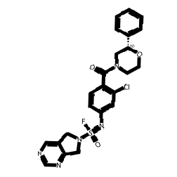 O=C(c1ccc(N=S(=O)(F)N2Cc3cncnc3C2)cc1Cl)N1CCO[C@@H](c2ccccc2)C1